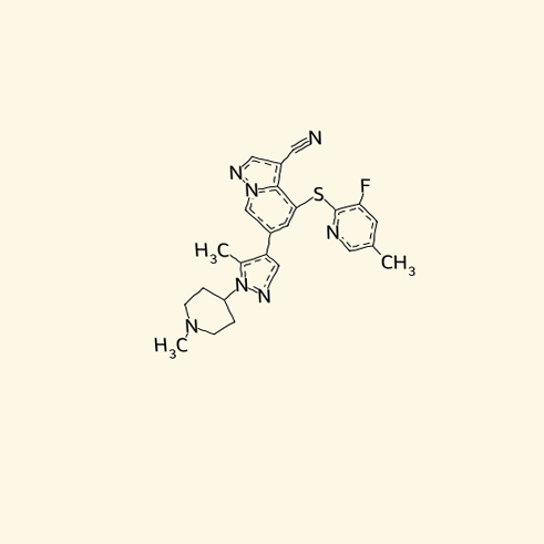 Cc1cnc(Sc2cc(-c3cnn(C4CCN(C)CC4)c3C)cn3ncc(C#N)c23)c(F)c1